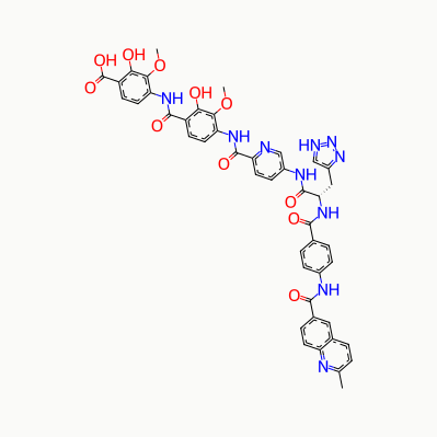 COc1c(NC(=O)c2ccc(NC(=O)c3ccc(NC(=O)[C@H](Cc4c[nH]nn4)NC(=O)c4ccc(NC(=O)c5ccc6nc(C)ccc6c5)cc4)cn3)c(OC)c2O)ccc(C(=O)O)c1O